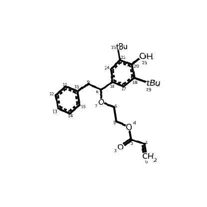 C=CC(=O)OCCOC(Cc1ccccc1)c1cc(C(C)(C)C)c(O)c(C(C)(C)C)c1